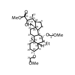 CC[C@H]1[C@@H](OCOC)C2C3CC[C@H]([C@H](C)C(O)C(=O)OC)[C@@]3(C)CCC2[C@@]2(C)CC[C@@H](OCOC)C[C@@H]12